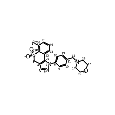 O=S1(=O)Cc2[c]nn(-c3ccc(CN4CCOCC4)cc3)c2-c2cccc(F)c21